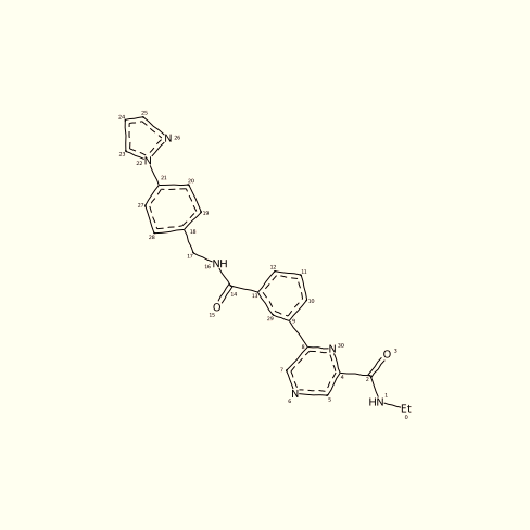 CCNC(=O)c1cncc(-c2cccc(C(=O)NCc3ccc(-n4cccn4)cc3)c2)n1